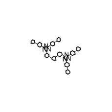 c1ccc(-c2ccc(-c3nc(-c4ccc(-c5ccccc5)cc4)nc(-c4cccc(-c5cccc(-c6cccc(-c7nc(-c8ccc(-c9ccccc9)cc8)nc(-c8ccc(-c9ccccc9)cc8)n7)c6)c5)c4)n3)cc2)cc1